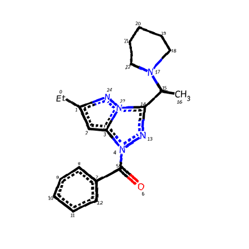 CCc1cc2n(C(=O)c3ccccc3)nc(C(C)N3CCCCC3)n2n1